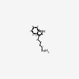 [AsH2]CCCCc1c[nH]c2ccccc12